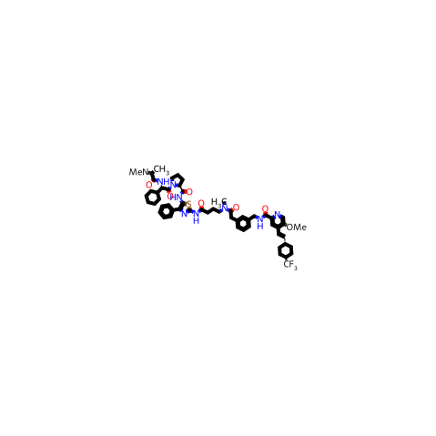 CNC(C)C(=O)N[C@H](C(=O)N1CCC[C@H]1C(=O)Nc1sc(NC(=O)CCCN(C)C(=O)Cc2cccc(CNC(=O)c3cc(/C=C/[C@H]4CC[C@H](C(F)(F)F)CC4)c(OC)cn3)c2)nc1-c1ccccc1)C1CCCCC1